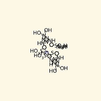 O=S(=O)(O)c1cccc(Nc2nc(Nc3ccc(/C=C/c4ccc(Nc5nc(Nc6cccc(S(=O)(=O)O)c6)nc(N(CCO)CCO)n5)cc4S(=O)(=O)O)c(S(=O)(=O)O)c3)nc(N(CCO)CCO)n2)c1.[NaH].[NaH]